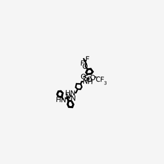 CC(F)(F)COc1ccc(OCC(F)(F)F)c(S(=O)(=O)NCC2CCC(CNc3nc(Nc4ccccc4)c4ccccc4n3)CC2)c1